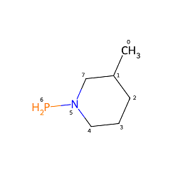 CC1CCCN(P)C1